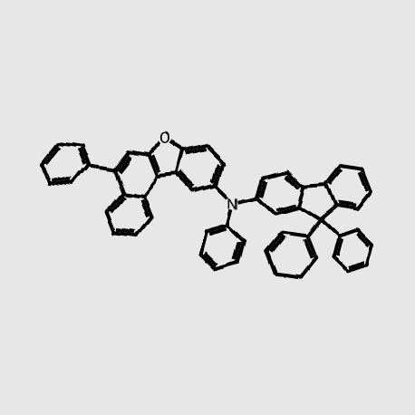 C1=CC(C2(c3ccccc3)c3ccccc3-c3ccc(N(c4ccccc4)c4ccc5oc6cc(-c7ccccc7)c7ccccc7c6c5c4)cc32)=CCC1